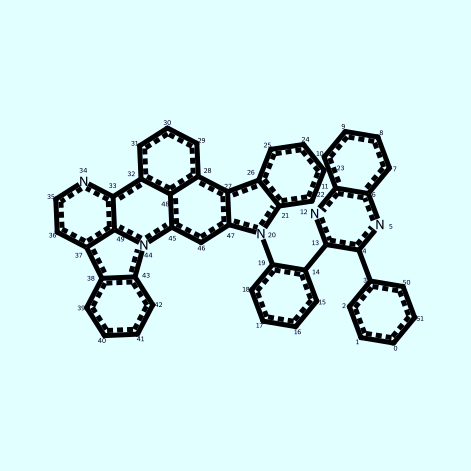 c1ccc(-c2nc3ccccc3nc2-c2ccccc2-n2c3ccccc3c3c4cccc5c6nccc7c8ccccc8n(c(cc32)c54)c76)cc1